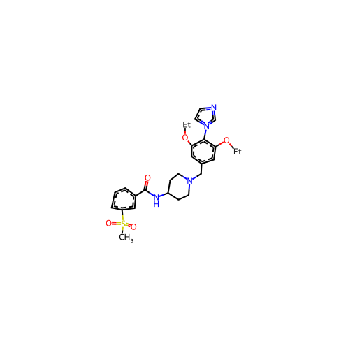 CCOc1cc(CN2CCC(NC(=O)c3cccc(S(C)(=O)=O)c3)CC2)cc(OCC)c1-n1ccnc1